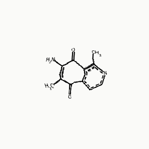 CC1=C(N)C(=O)c2c(ccnc2C)C1=O